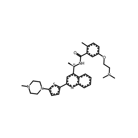 Cc1ccc(OCCN(C)C)cc1C(=O)N[C@H](C)c1cc(-c2ccc(N3CCN(C)CC3)s2)nc2ccccc12